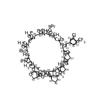 CCCOCC1C(=O)N(C)CC(=O)N[C@@H](CCc2ccc(C(F)(F)F)c(Cl)c2)C(=O)N2CCC[C@H]2C(=O)NC2(CCCC2)C(=O)N(C)[C@@H](C2CCCCC2)C(=O)N(C)[C@H](C(=O)N2C3CCC2COC3)CC(=O)N(C)[C@@H](CC(C)C)C(=O)N[C@@H]([C@@H](C)CC)C(=O)N(C)CC(=O)N(C)CC(=O)N1C